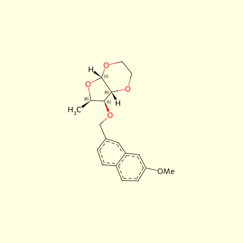 COc1ccc2ccc(CO[C@@H]3[C@H]4OCCO[C@H]4O[C@@H]3C)cc2c1